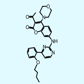 CCCCOc1ccccc1-c1ccnc(Nc2ccc3c(N4CCOCC4)c(C(C)=O)c(=O)oc3c2)n1